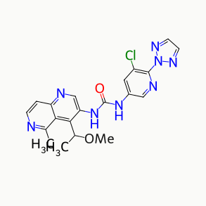 COC(C)c1c(NC(=O)Nc2cnc(-n3nccn3)c(Cl)c2)cnc2ccnc(C)c12